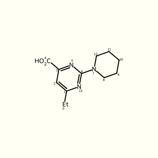 CCc1cc(C(=O)O)nc(N2CCCCC2)n1